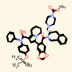 CC(C)(C)OC(=O)N1CCN(C[C@@H]2Cc3ccccc3CN2C(=O)c2cc3c(cc2-c2cc(C(O)N(c4ccccc4)c4ccc(O[Si](C)(C)C(C)(C)C)cc4)c4n2CCCC4)OCO3)CC1